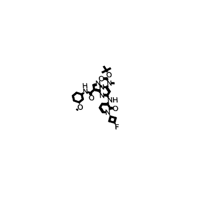 CO[C@@H]1CCCC(NC(=O)c2cnn3c(N(C)C(=O)OC(C)(C)C)cc(Nc4cccn([C@H]5C[C@H](F)C5)c4=O)nc23)C1